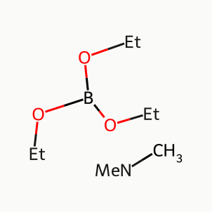 CCOB(OCC)OCC.CNC